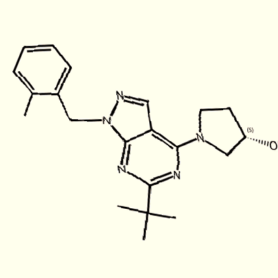 Cc1ccccc1Cn1ncc2c(N3CC[C@H](O)C3)nc(C(C)(C)C)nc21